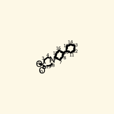 O=S1(=O)CCN(c2ccc(-c3ccccc3)cc2)CC1